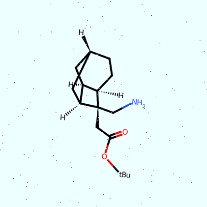 CC(C)(C)OC(=O)C[C@]1(CN)[C@@H]2CC[C@H]3C[C@@H]2[C@@H]1C3